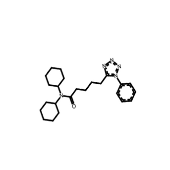 O=C(CCCCc1nnnn1-c1ccccc1)N(C1CCCCC1)C1CCCCC1